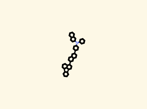 c1ccc(N(c2ccc(-c3ccc4cc(-c5ccc6c7c(cccc57)-c5ccccc5-6)ccc4c3)cc2)c2ccc3ccccc3c2)cc1